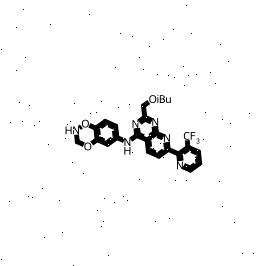 CC(C)COCc1nc(Nc2ccc3c(c2)OCNO3)c2ccc(-c3ncccc3C(F)(F)F)nc2n1